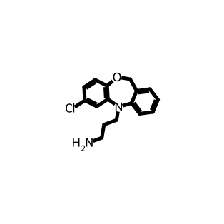 NCCCN1c2ccccc2COc2ccc(Cl)cc21